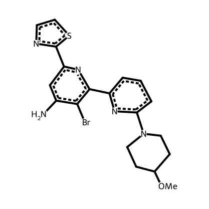 COC1CCN(c2cccc(-c3nc(-c4nccs4)cc(N)c3Br)n2)CC1